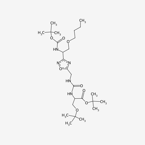 CCCCOCC(NC(=O)OC(C)(C)C)c1noc(CNC(=O)NC(COC(C)(C)C)C(=O)OC(C)(C)C)n1